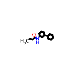 CCCC(=O)Nc1cccc(-c2ccccc2)c1